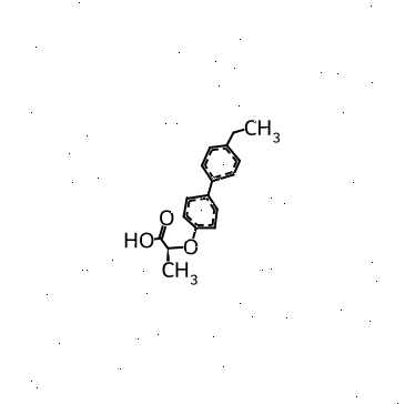 CCc1ccc(-c2ccc(O[C@@H](C)C(=O)O)cc2)cc1